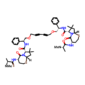 CN[C@@H](C)C(=O)N[C@H]1CCS[C@H]2CC(C)(C)[C@@H](C(=O)N[C@H](COCC#CC#CCOC[C@@H](NC(=O)[C@H]3N4C(=O)[C@@H](NC(=S)[C@H](C)NC)CCS[C@H]4CC3(C)C)c3ccccc3)c3ccccc3)N2C1=O